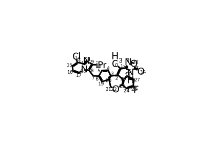 C/C(=C1\c2ccc(Cc3c(C(C)C)nc4c(Cl)cccn34)cc2COc2cc(F)ccc21)c1noc(=O)[nH]1